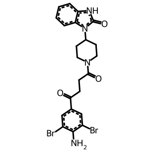 Nc1c(Br)cc(C(=O)CCC(=O)N2CCC(n3c(=O)[nH]c4ccccc43)CC2)cc1Br